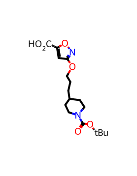 CC(C)(C)OC(=O)N1CCC(CCCOc2cc(C(=O)O)on2)CC1